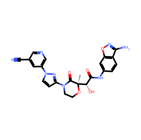 C[C@]1([C@@H](O)C(=O)Nc2ccc3c(N)noc3c2)OCCN(c2ccn(-c3cncc(C#N)c3)n2)C1=O